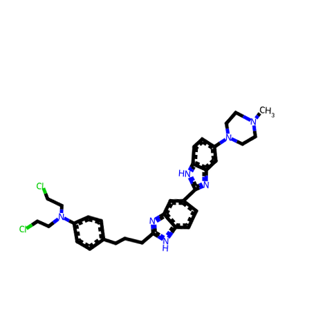 CN1CCN(c2ccc3[nH]c(-c4ccc5[nH]c(CCCc6ccc(N(CCCl)CCCl)cc6)nc5c4)nc3c2)CC1